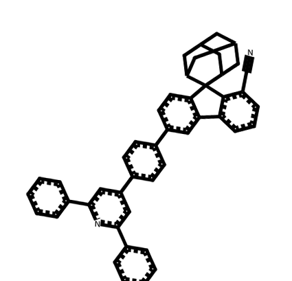 N#Cc1cccc2c1C1(c3ccc(-c4ccc(-c5cc(-c6ccccc6)nc(-c6ccccc6)c5)cc4)cc3-2)C2CC3CC(C2)CC1C3